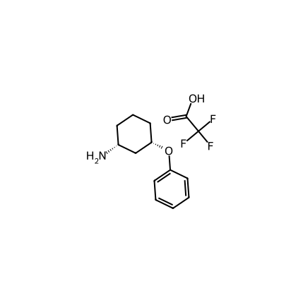 N[C@@H]1CCC[C@H](Oc2ccccc2)C1.O=C(O)C(F)(F)F